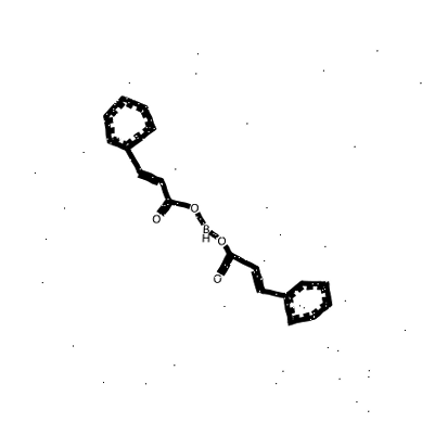 O=C(C=Cc1ccccc1)OBOC(=O)C=Cc1ccccc1